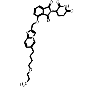 CCCOCCCCc1ccc2nc(COc3cccc4c3C(=O)N(C3CCC(=O)NC3=O)C4=O)cn2c1